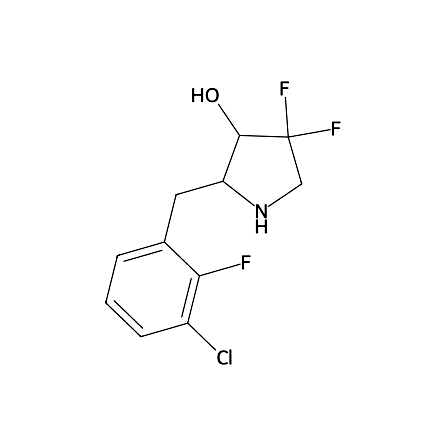 OC1C(Cc2cccc(Cl)c2F)NCC1(F)F